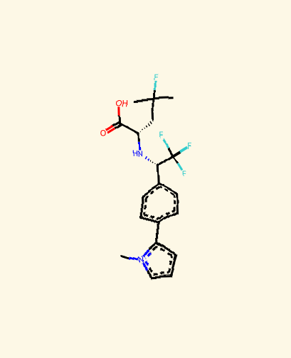 Cn1cccc1-c1ccc([C@H](N[C@@H](CC(C)(C)F)C(=O)O)C(F)(F)F)cc1